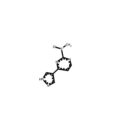 C[S+]([O-])c1nccc(-c2cn[nH]c2)n1